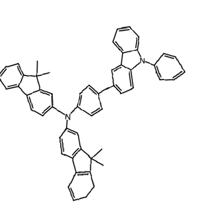 CC1(C)C2=C(C=CCC2)c2ccc(N(c3ccc(-c4ccc5c(c4)c4ccccc4n5-c4ccccc4)cc3)c3ccc4c(c3)C(C)(C)c3ccccc3-4)cc21